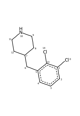 Clc1cccc(CC2CCNCC2)c1Cl